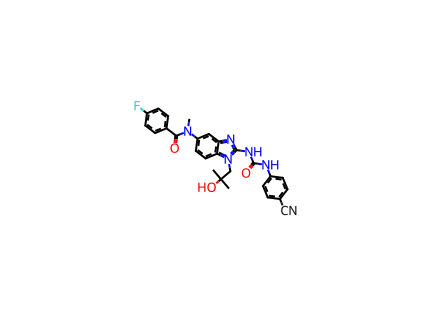 CN(C(=O)c1ccc(F)cc1)c1ccc2c(c1)nc(NC(=O)Nc1ccc(C#N)cc1)n2CC(C)(C)O